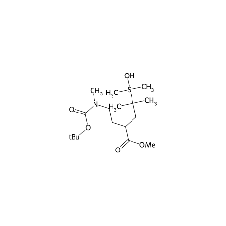 COC(=O)C(CCN(C)C(=O)OC(C)(C)C)CC(C)(C)[Si](C)(C)O